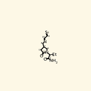 CC[C@@H](C(N)=O)N1CC(CN=CC=S)CC1=O